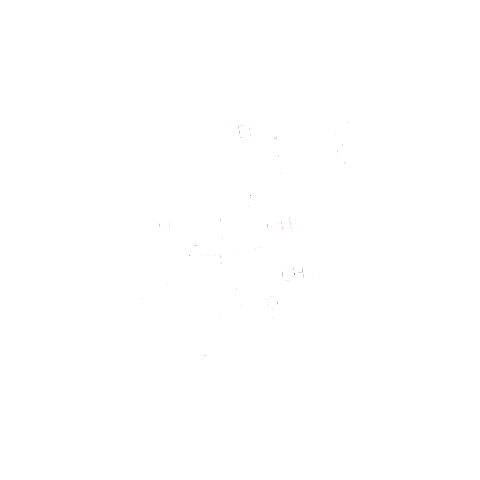 CCC1(CC(O)(CBr)c2ccccc2)C(=O)c2ccccc2C1=O